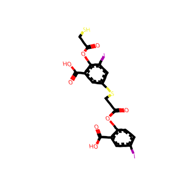 O=C(CSc1cc(I)c(OC(=O)CS)c(C(=O)O)c1)Oc1ccc(I)cc1C(=O)O